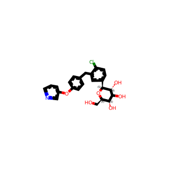 OC[C@H]1O[C@@H](c2ccc(Cl)c(Cc3ccc(Oc4cccnc4)cc3)c2)[C@H](O)C(O)[C@@H]1O